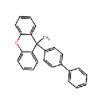 CC1(c2ccc(-c3ccccc3)cc2)c2ccccc2Oc2ccccc21